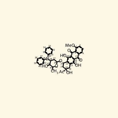 COc1cccc2c1C(=O)c1c(O)c3c(c(O)c1C2=O)C[C@@](O)(C(C)=O)C[C@@H]3OC1CC(N(c2ccccc2)c2ccccc2)C(O)C(C)O1